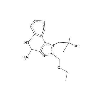 CCOCc1nc2c(n1CC(C)(C)O)-c1ccccc1NC2N